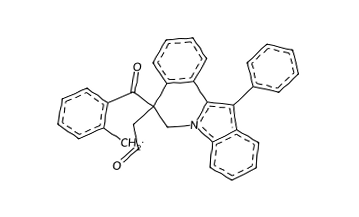 [CH2]c1ccccc1C(=O)C1(CC=O)Cn2c(c(-c3ccccc3)c3ccccc32)-c2ccccc21